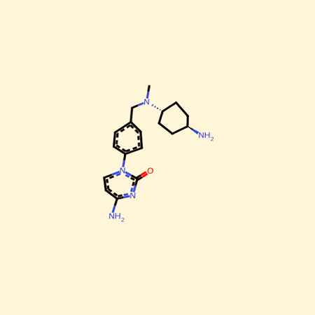 CN(Cc1ccc(-n2ccc(N)nc2=O)cc1)[C@H]1CC[C@H](N)CC1